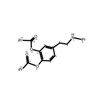 CC(C)NCCc1ccc(OC(=O)C(C)C)c(OC(=O)C(C)C)c1